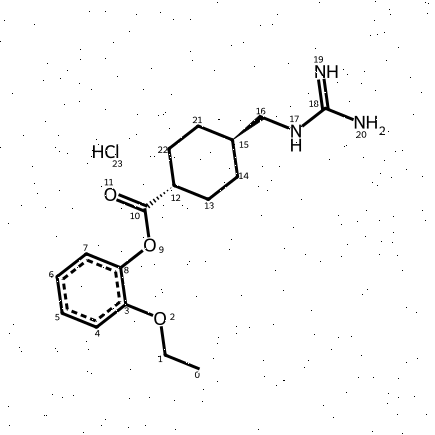 CCOc1ccccc1OC(=O)[C@H]1CC[C@H](CNC(=N)N)CC1.Cl